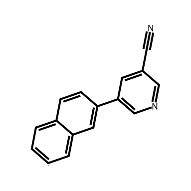 N#Cc1cncc(-c2ccc3cc[c]cc3c2)c1